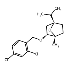 CC(C)[C@@]12CC[C@@](C)(O1)[C@@H](OCc1ccc(Cl)cc1Cl)C2